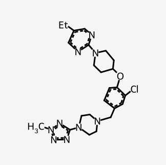 CCc1cnc(N2CCC(Oc3ccc(CN4CCN(c5nnn(C)n5)CC4)cc3Cl)CC2)nc1